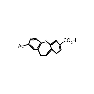 CC(=O)c1ccc2c(c1)CC=C1CC=C(C(=O)O)C=C1S2